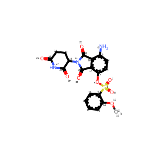 Nc1ccc(OS(=O)(=O)c2ccccc2OC(F)(F)F)c2c1C(=O)N(C1CCC(=O)NC1=O)C2=O